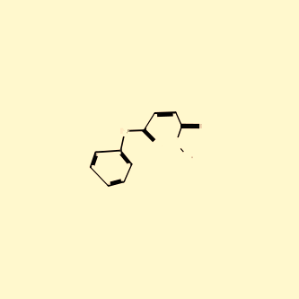 O=C(/C=C\C(=O)OO)Nc1ccccc1